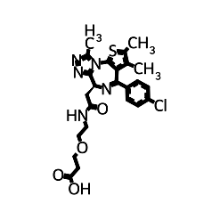 Cc1sc2c(c1C)C(c1ccc(Cl)cc1)=N[C@@H](CC(=O)NCCOCCC(=O)O)c1nnc(C)n1-2